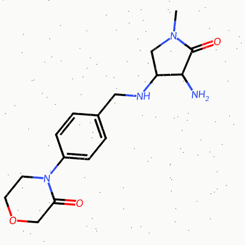 CN1CC(NCc2ccc(N3CCOCC3=O)cc2)C(N)C1=O